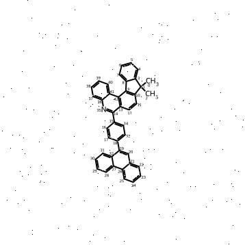 CC1(C)c2ccccc2-c2c1ccc1c(-c3ccc(-c4cc5ccccc5c5ccccc45)cc3)nc3ccccc3c21